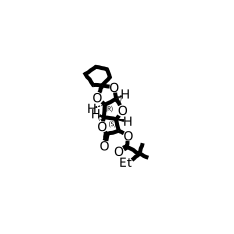 CCC(C)(C)C(=O)OC1C(=O)O[C@@H]2[C@H]3OC4(CCCCC4)O[C@H]3O[C@H]12